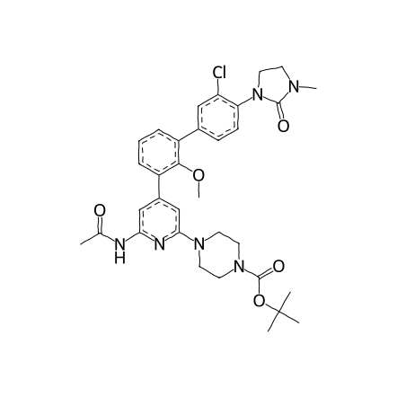 COc1c(-c2cc(NC(C)=O)nc(N3CCN(C(=O)OC(C)(C)C)CC3)c2)cccc1-c1ccc(N2CCN(C)C2=O)c(Cl)c1